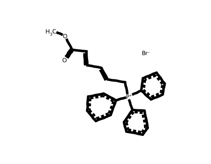 COC(=O)C=CC=CC[P+](c1ccccc1)(c1ccccc1)c1ccccc1.[Br-]